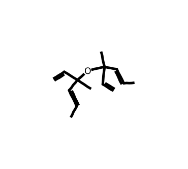 C=CC(C)(C=CC)OC(C)(C=C)C=CC